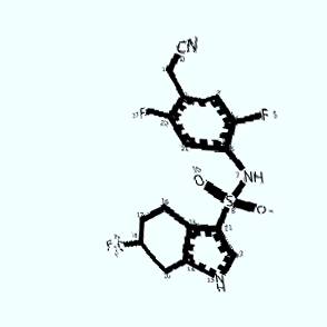 N#CCc1cc(F)c(NS(=O)(=O)c2c[nH]c3c2CCC(C(F)(F)F)C3)cc1F